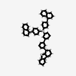 c1cc(-c2cccc(N(c3ccc(-c4cccc5ccccc45)cc3)c3ccc(-c4cccc5ccccc45)cc3)c2)cc(-c2cccc3c2oc2ccccc23)c1